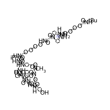 Cc1cccc2c(OC(=O)N(CCOCCO)CCN(C)C(=O)OCc3ccc(NC(=O)[C@H](CCCNC(N)=O)NC(=O)[C@@H](NC(=O)CCOCCOCCOCCOCCNC(=O)CCC(=O)N4Cc5ccccc5/C(NCCOCCOCCOCCOCCC(=O)NCC(C)(C)C)=C(/NN)c5ccccc54)C(C)C)cc3)cc3c(c12)[C@H](CCl)CN3C(=O)c1cn2cc(NC(=O)c3ccc(O)cc3)ccc2n1